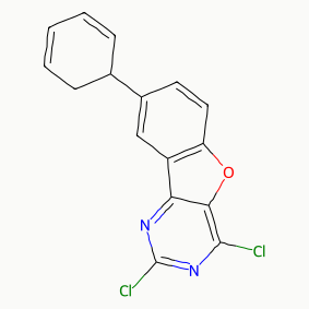 Clc1nc(Cl)c2oc3ccc(C4C=CC=CC4)cc3c2n1